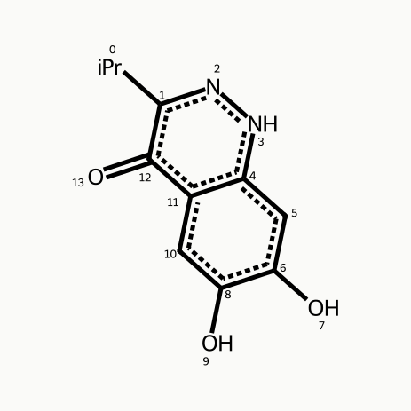 CC(C)c1n[nH]c2cc(O)c(O)cc2c1=O